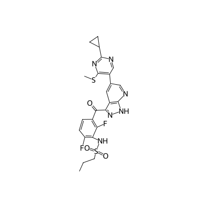 CCCS(=O)(=O)Nc1c(F)ccc(C(=O)c2n[nH]c3ncc(-c4cnc(C5CC5)nc4SC)cc23)c1F